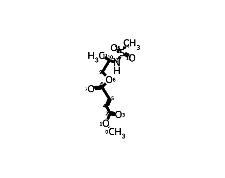 COC(=O)/C=C/C(=O)OCC(C)NS(C)(=O)=O